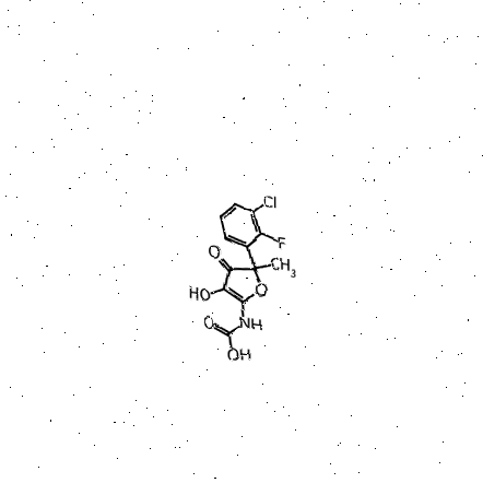 CC1(c2cccc(Cl)c2F)OC(NC(=O)O)=C(O)C1=O